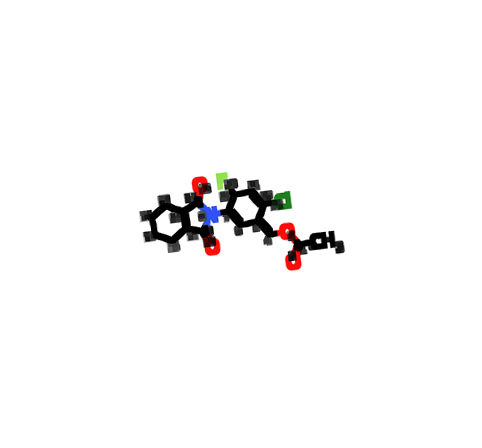 CC(=O)O/C=C1/C=C(N2C(=O)C3=C(CCCC3)C2=O)C(F)C=C1Cl